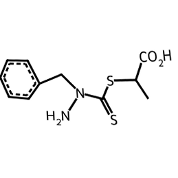 CC(SC(=S)N(N)Cc1ccccc1)C(=O)O